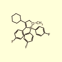 C[O+]1CC(C2CCCCC2)=C(c2ccc(F)cc2)[B-]1(c1ccc(F)cc1)c1ccc(F)cc1